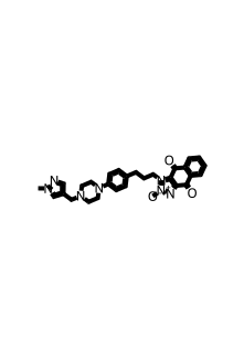 Cn1cc(CN2CCN(c3ccc(CCCn4c5c(n[n+]4[O-])C(=O)c4ccccc4C5=O)cc3)CC2)cn1